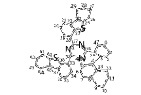 c1ccc(-c2cccc3ccccc23)c(-c2nc(-c3cccc4c3sc3ccccc34)nc(-c3cccc4c3sc3ccccc34)n2)c1